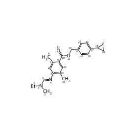 CCN(C)/C=N/c1cc(C)c(C(=O)OCc2ccc(C3CC3)cc2)cc1C